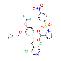 O=C(O[C@@H](Cc1c(Cl)cncc1Cl)c1ccc(OC(F)F)c(OCC2CC2)c1)c1cccn1S(=O)(=O)c1ccc([N+](=O)[O-])cc1